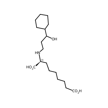 O=C(O)CCCCCC[C@H](NCCC(O)C1CCCCC1)C(=O)O